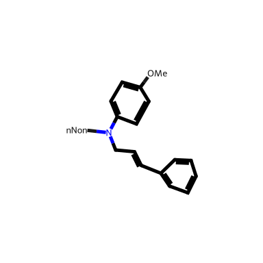 CCCCCCCCCN(C/C=C/c1ccccc1)c1ccc(OC)cc1